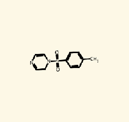 Cc1ccc(S(=O)(=O)N2C=CN=CC2)cc1